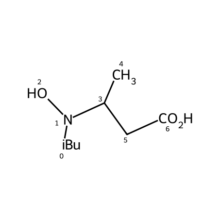 CCC(C)N(O)C(C)CC(=O)O